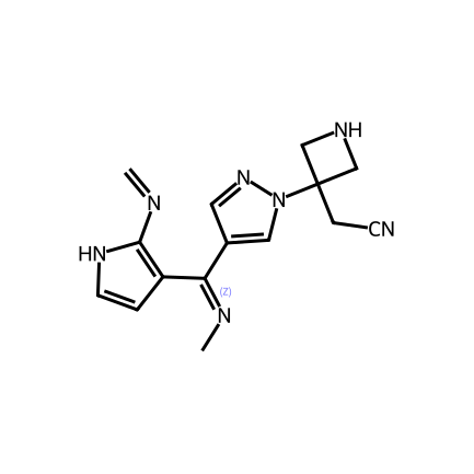 C=Nc1[nH]ccc1/C(=N\C)c1cnn(C2(CC#N)CNC2)c1